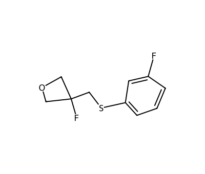 Fc1cccc(SCC2(F)COC2)c1